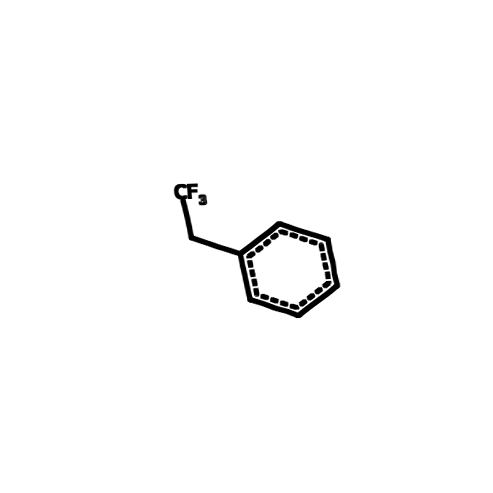 FC(F)(F)Cc1ccccc1